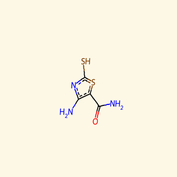 NC(=O)c1sc(S)nc1N